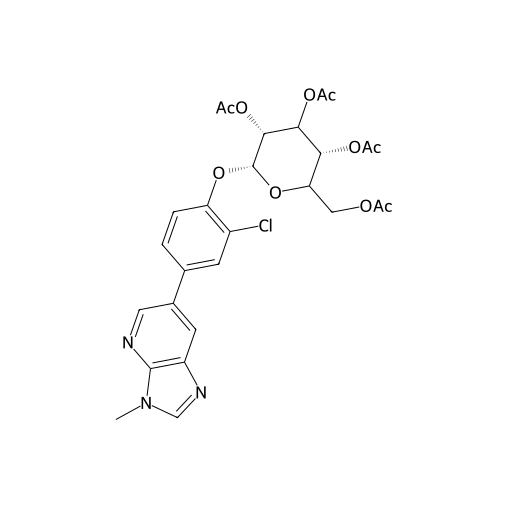 CC(=O)OCC1O[C@H](Oc2ccc(-c3cnc4c(c3)ncn4C)cc2Cl)[C@H](OC(C)=O)C(OC(C)=O)[C@@H]1OC(C)=O